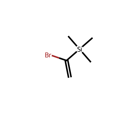 C=C(Br)[Si](C)(C)C